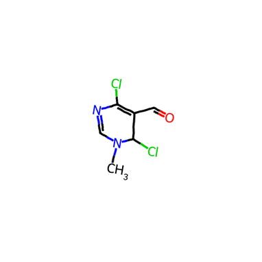 CN1C=NC(Cl)=C(C=O)C1Cl